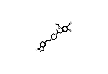 CCOc1cc(C#N)c(Br)cc1CC(=O)N1CCN(CCc2ccc3c(c2)COC3=O)CC1